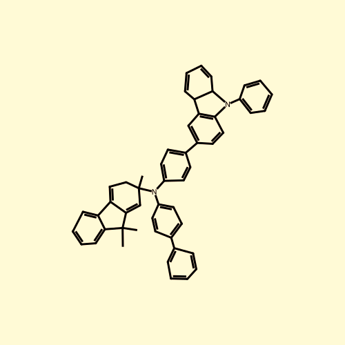 CC1(C)C2=CC(C)(N(c3ccc(-c4ccccc4)cc3)c3ccc(-c4ccc5c(c4)C4C=CC=CC4N5c4ccccc4)cc3)CC=C2c2ccccc21